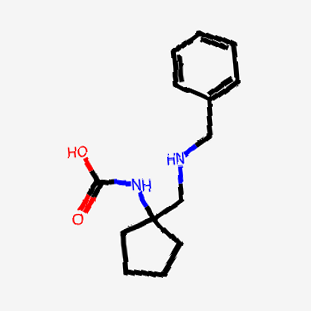 O=C(O)NC1(CNCc2ccccc2)CCCC1